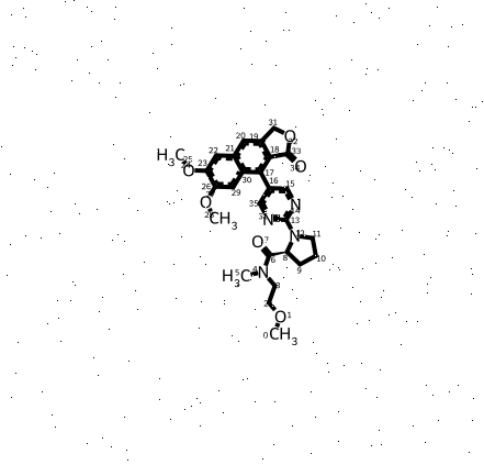 COCCN(C)C(=O)[C@@H]1CCCN1c1ncc(-c2c3c(cc4cc(OC)c(OC)cc24)COC3=O)cn1